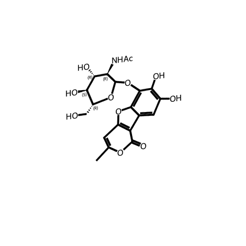 CC(=O)N[C@H]1C(Oc2c(O)c(O)cc3c2oc2cc(C)oc(=O)c23)O[C@H](CO)[C@@H](O)[C@@H]1O